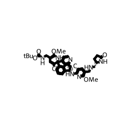 COC1=C(CNC(=O)OC(C)(C)C)C=C(Cl)C(c2ccncc2)(c2cccc3c2CC[C@@H]3Nc2nc(OC)c(CNC[C@@H]3CCC(=O)N3)cc2C(F)(F)F)N1